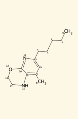 CCCCCc1cc(C)c2c(n1)OCCN2